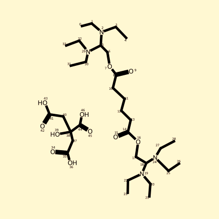 CCN(CC)C(COC(=O)CCCCC(=O)OCC(N(CC)CC)N(CC)CC)N(CC)CC.O=C(O)CC(O)(CC(=O)O)C(=O)O